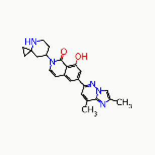 Cc1cn2nc(-c3cc(O)c4c(=O)n(C5CCNC6(CC6)C5)ccc4c3)cc(C)c2n1